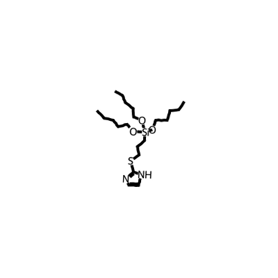 CCCCCO[Si](CCCSc1ncc[nH]1)(OCCCCC)OCCCCC